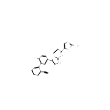 Cc1ncc(-c2ccn3c(-c4ccc(F)c(-c5ccccc5C#N)c4)cnc3n2)s1